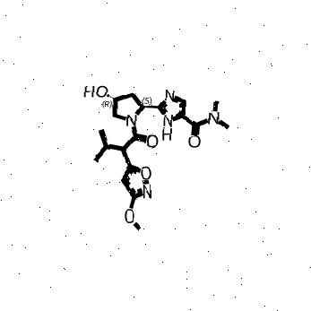 COc1cc(C(C(=O)N2C[C@H](O)C[C@H]2c2ncc(C(=O)N(C)C)[nH]2)C(C)C)on1